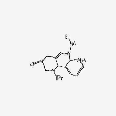 CCNN1C=C2CC(=O)CN(C(C)C)C2C2=CC=CNC21